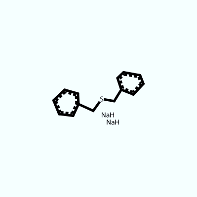 [NaH].[NaH].c1ccc(CSCc2ccccc2)cc1